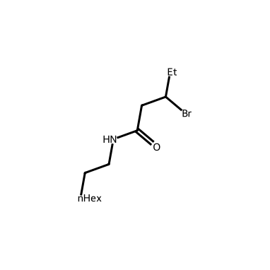 CCCCCCCCNC(=O)CC(Br)CC